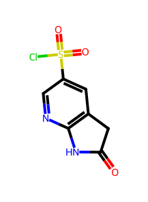 O=C1Cc2cc(S(=O)(=O)Cl)cnc2N1